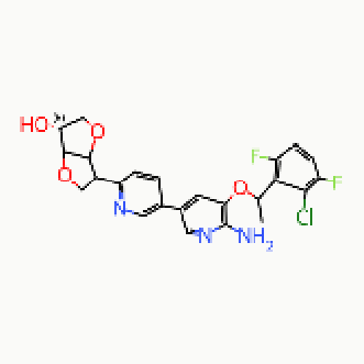 CC(Oc1cc(-c2ccc(C3COC4C3OC[C@H]4O)nc2)cnc1N)c1c(F)ccc(F)c1Cl